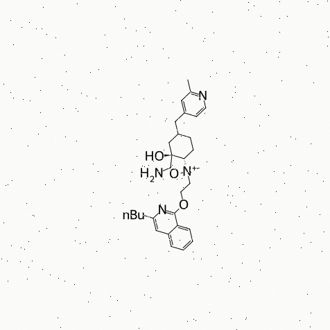 CCCCc1cc2ccccc2c(OCC[N+](C)(C)[C@H]2CCC(Cc3ccnc(C)c3)C[C@@]2(O)C(N)=O)n1